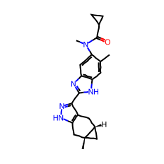 Cc1cc2[nH]c(-c3n[nH]c4c3C[C@@H]3C[C@]3(C)C4)nc2cc1N(C)C(=O)C1CC1